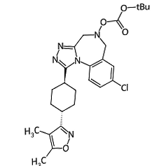 Cc1onc([C@H]2CC[C@H](c3nnc4n3-c3ccc(Cl)cc3CN(OC(=O)OC(C)(C)C)C4)CC2)c1C